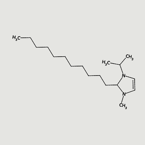 CCCCCCCCCCCC1N(C)C=CN1C(C)C